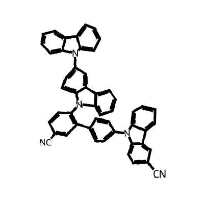 N#Cc1ccc(-n2c3ccccc3c3cc(-n4c5ccccc5c5ccccc54)ccc32)c(-c2ccc(-n3c4ccccc4c4cc(C#N)ccc43)cc2)c1